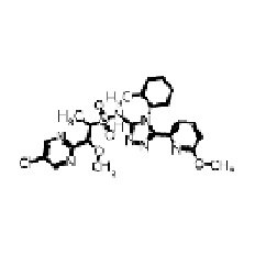 COc1cccc(-c2nnc(NS(=O)(=O)C(C)C(OC)c3ncc(Cl)cn3)n2[C@H]2CCCC[C@@H]2C)n1